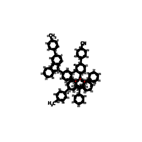 Cc1ccc(-c2ccc3c(c2)c2ccccc2n3-c2ccc(-c3nc(-c4ccccc4)nc(-c4ccccc4)n3)c(-c3cc(-c4ccc(C#N)cc4)ccc3-n3c4ccccc4c4cc(-c5ccc(C)cc5)ccc43)c2)cc1